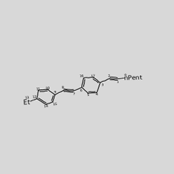 CCCCCC#Cc1ccc(C#Cc2ccc(CC)cc2)cc1